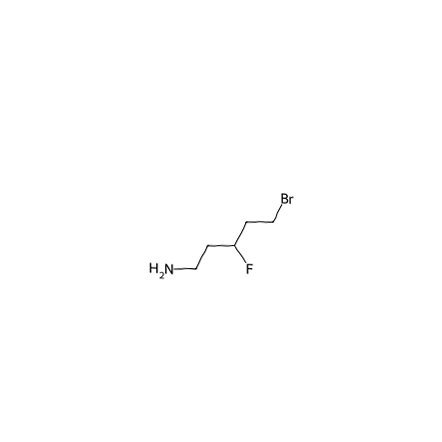 NCCC(F)CCBr